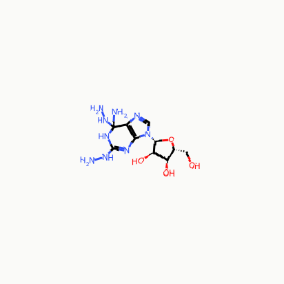 NNC1=Nc2c(ncn2[C@@H]2O[C@H](CO)[C@@H](O)[C@H]2O)C(N)(NN)N1